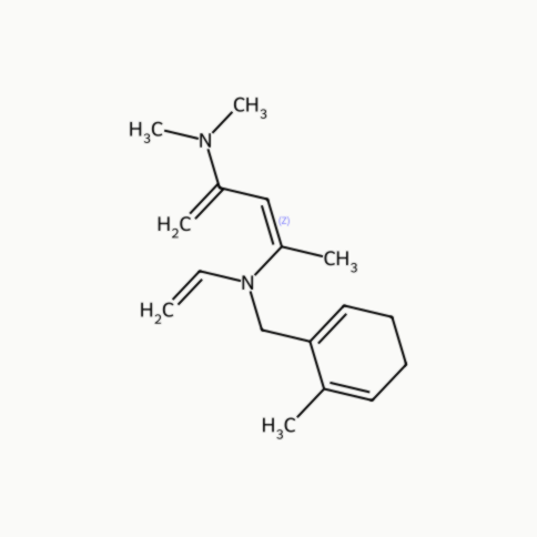 C=CN(CC1=CCCC=C1C)/C(C)=C\C(=C)N(C)C